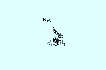 CCCCCCCCCCOc1ccc(-c2nn(-c3ccccc3)cc2C=C2C(=O)N(C)C(=O)N(C)C2=O)cc1